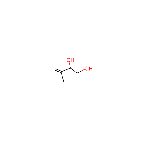 C=C(C)C(O)CO